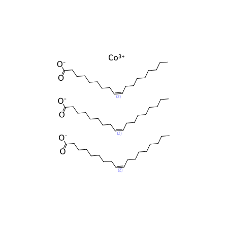 CCCCCCCC/C=C\CCCCCCCC(=O)[O-].CCCCCCCC/C=C\CCCCCCCC(=O)[O-].CCCCCCCC/C=C\CCCCCCCC(=O)[O-].[Co+3]